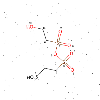 O=S(=O)(O)CCS(=O)(=O)OS(=O)(=O)CCO